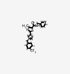 Cc1nc(-c2nnn(Cc3ccc(C(F)(F)F)cc3)n2)sc1C(=O)NCc1cccnc1